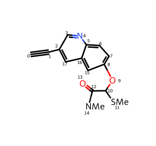 C#Cc1cnc2ccc(OC(SC)C(=O)NC)cc2c1